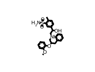 COc1ccccc1OC(CNCC(O)c1ccc(C)c(S(N)(=O)=O)c1)Cc1ccccc1